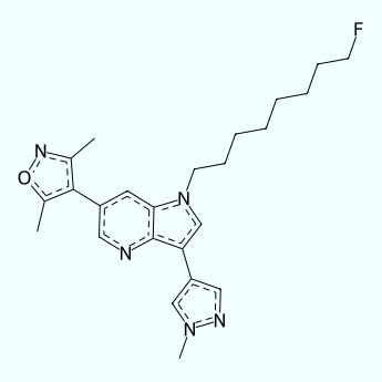 Cc1noc(C)c1-c1cnc2c(-c3cnn(C)c3)cn(CCCCCCCCF)c2c1